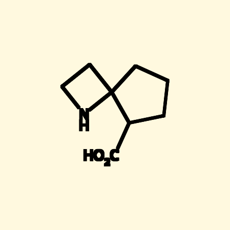 O=C(O)C1CCCC12CCN2